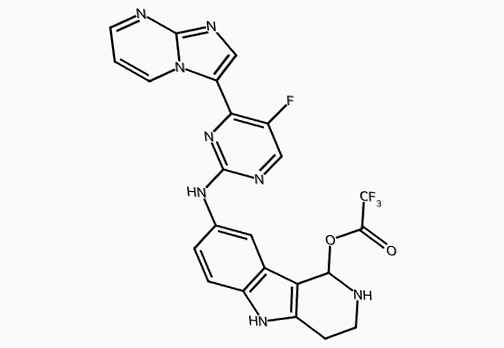 O=C(OC1NCCc2[nH]c3ccc(Nc4ncc(F)c(-c5cnc6ncccn56)n4)cc3c21)C(F)(F)F